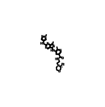 CC[C@H]1COCCN1CCNC(=O)c1cnc(C)c(Nc2nn(C)c3nc(Nc4cnn(C)c4)ncc23)c1